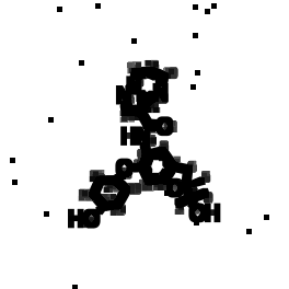 CC(C)(O)[C@@]1(C)Cc2cc(NC(=O)c3cnn4cccnc34)c(O[C@H]3CC[C@H](O)CC3)cc2O1